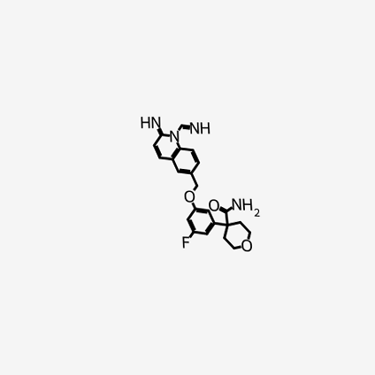 N=Cn1c(=N)ccc2cc(COc3cc(F)cc(C4(C(N)=O)CCOCC4)c3)ccc21